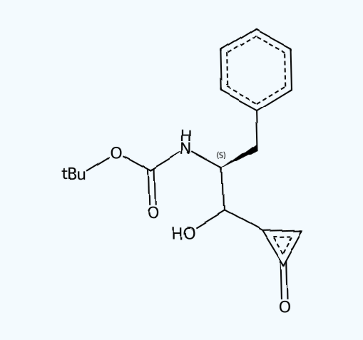 CC(C)(C)OC(=O)N[C@@H](Cc1ccccc1)C(O)c1cc1=O